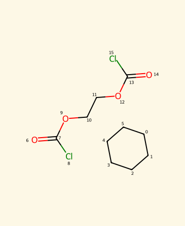 C1CCCCC1.O=C(Cl)OCCOC(=O)Cl